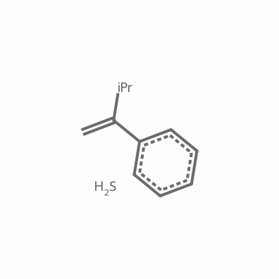 C=C(c1ccccc1)C(C)C.S